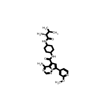 COc1cc(-c2cc(C(=O)NC3CCC(NC(=O)[C@@H](N)C(C)C)CC3)c3c(N)ncnn23)ccn1